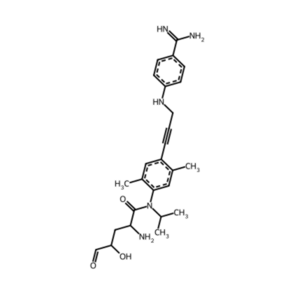 Cc1cc(N(C(=O)C(N)CC(O)C=O)C(C)C)c(C)cc1C#CCNc1ccc(C(=N)N)cc1